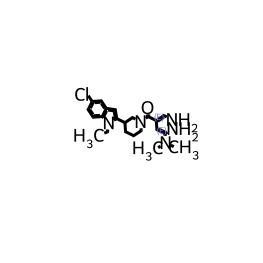 CCn1c(C2CCCN(C(=O)C(=C/N)/C=C(\N)N(C)C)C2)cc2cc(Cl)ccc21